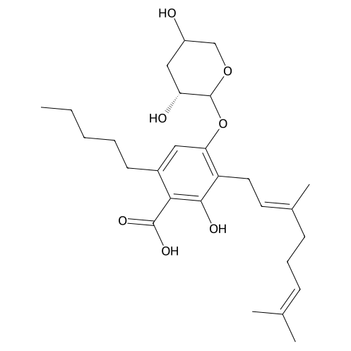 CCCCCc1cc(OC2OCC(O)C[C@H]2O)c(C/C=C(\C)CCC=C(C)C)c(O)c1C(=O)O